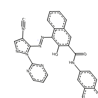 [C-]#[N+]c1cnn(-c2ncccn2)c1/N=N/c1c(O)c(C(=O)Nc2ccc3ccccc3c2)cc2ccccc12